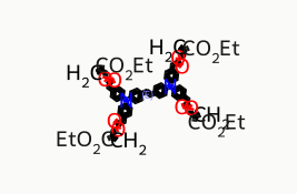 C=C(COC(=O)Cc1ccc(N(c2ccc(/C=C/c3ccc(N(c4ccc(CC(=O)OCC(=C)C(=O)OCC)cc4)c4ccc(CC(=O)OCC(=C)C(=O)OCC)cc4)cc3)cc2)c2ccc(CC(=O)OCC(=C)C(=O)OCC)cc2)cc1)C(=O)OCC